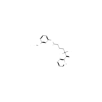 CCCCOc1cccc(OCCCCC(F)(F)C(=O)c2ccccn2)c1